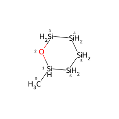 C[SiH]1O[SiH2][SiH2][SiH2][SiH2]1